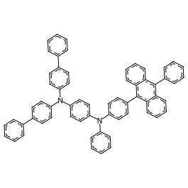 c1ccc(-c2ccc(N(c3ccc(-c4ccccc4)cc3)c3ccc(N(c4ccccc4)c4ccc(-c5c6ccccc6c(-c6ccccc6)c6ccccc56)cc4)cc3)cc2)cc1